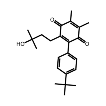 CC1=C(C)C(=O)C(c2ccc(C(C)(C)C)cc2)=C(CCC(C)(C)O)C1=O